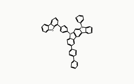 c1ccc(-c2ccc(-c3ccc4c(c3)c3cc5c6ccccc6n(-c6ccccc6)c5cc3n4-c3ccc(-c4cccc5c4sc4ccccc45)cc3)cc2)cc1